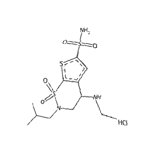 CCNC1CN(CC(C)C)S(=O)(=O)c2sc(S(N)(=O)=O)cc21.Cl